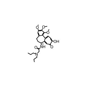 CCCN(CCC)CC(=O)N[C@H]1CCc2cc(OC)c(OC)c(OC)c2-c2ccc(O)c(=O)cc21